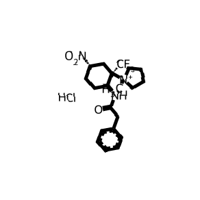 C[N+]1([C@]2(C(F)(F)F)C[C@@H]([N+](=O)[O-])CCC2NC(=O)Cc2ccccc2)CCCC1.Cl